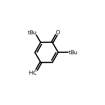 [CH]=C1C=C(C(C)(C)C)C(=O)C(C(C)(C)C)=C1